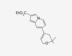 CCOC(=O)c1cc2cc(C3=CCOC(C)(C)C3)ccn2c1